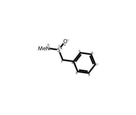 CN[S+]([O-])Cc1ccccc1